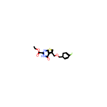 CCOC(=O)c1nc2scc(COCC3C=CC(F)=CC3)c2c(=O)[nH]1